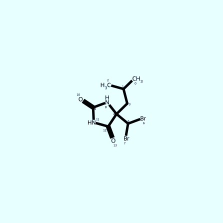 CC(C)CC1(C(Br)Br)NC(=O)NC1=O